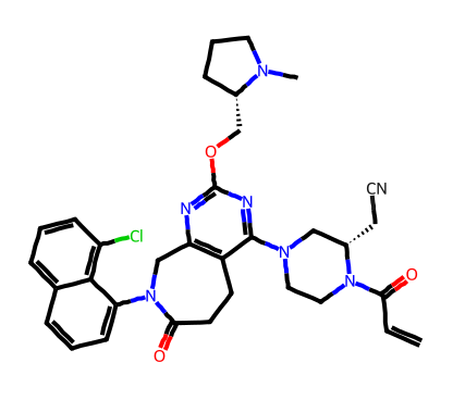 C=CC(=O)N1CCN(c2nc(OC[C@@H]3CCCN3C)nc3c2CCC(=O)N(c2cccc4cccc(Cl)c24)C3)C[C@@H]1CC#N